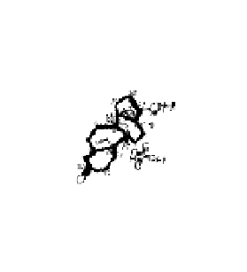 C[C@]12CC[C@H]3[C@@H](CCC4CC(=O)CC[C@@]43C)[C@@H]1CC[C@@H]2O.O=S(=O)(O)O